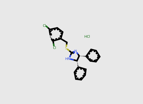 Cl.Clc1ccc(CSC2=N[C@H](c3ccccc3)[C@H](c3ccccc3)N2)c(Cl)c1